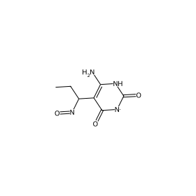 CCC(N=O)C1=C(N)NC(=O)[N]C1=O